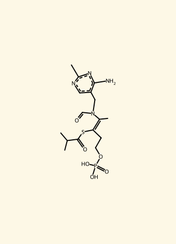 C/C(=C(\CCOP(=O)(O)O)SC(=O)C(C)C)N(C=O)Cc1cnc(C)nc1N